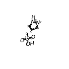 CS(=O)(=O)O.c1cn[nH]c1